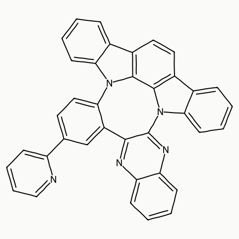 c1ccc(-c2ccc3c(c2)c2nc4ccccc4nc2n2c4ccccc4c4ccc5c6ccccc6n3c5c42)nc1